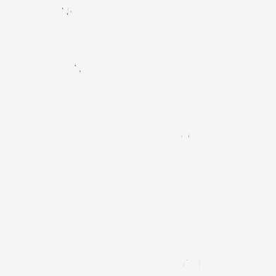 N#Cc1nc2ccc(Oc3ccc(O)cc3)cc2s1